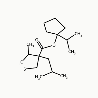 CC(C)CC(CS)(C(=O)OC1(C(C)C)CCCC1)C(C)C